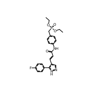 CCOP(=O)(Cc1ccc(NC(=O)/C=C/c2cn[nH]c2-c2ccc(F)cc2)cc1)OCC